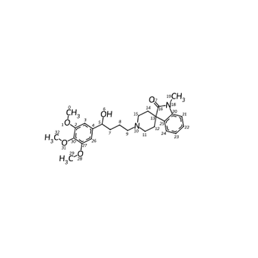 COc1cc(C(O)CCCN2CCC3(CC2)C(=O)N(C)c2ccccc23)cc(OC)c1OC